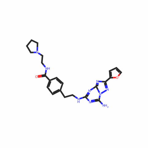 Nc1nc(NCCc2ccc(C(=O)NCCN3CCCC3)cc2)nc2nc(-c3ccco3)nn12